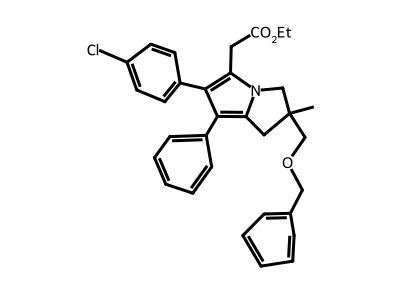 CCOC(=O)Cc1c(-c2ccc(Cl)cc2)c(-c2ccccc2)c2n1CC(C)(COCc1ccccc1)C2